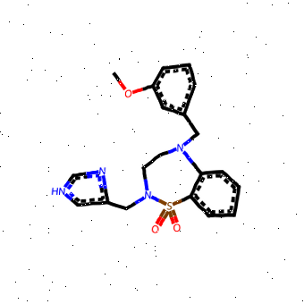 COc1cccc(CN2CCN(Cc3c[nH]cn3)S(=O)(=O)c3ccccc32)c1